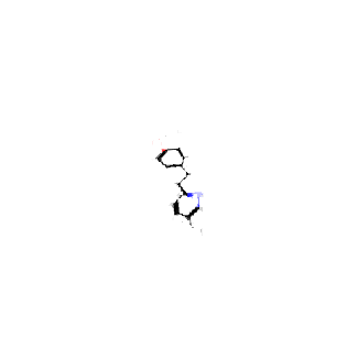 CCCCCCCCOc1ccc(CCc2ccc(CC)cn2)cc1